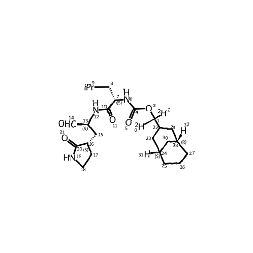 [2H]C([2H])(OC(=O)N[C@@H](CC(C)C)C(=O)N[C@H](C=O)C[C@@H]1CCNC1=O)C1C[C@H]2CCC[C@@H](C1)C2